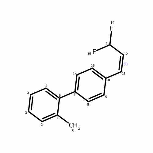 Cc1ccccc1-c1ccc(/C=C\C(F)F)cc1